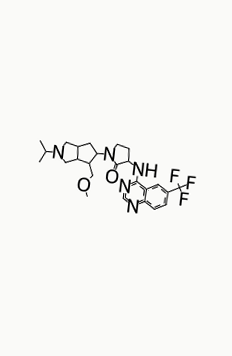 COCC1C2CN(C(C)C)CC2CC1N1CCC(Nc2ncnc3ccc(C(F)(F)F)cc23)C1=O